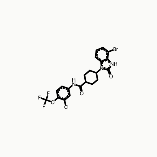 O=C(Nc1ccc(OC(F)(F)F)c(Cl)c1)C1CCC(n2c(=O)[nH]c3c(Br)cccc32)CC1